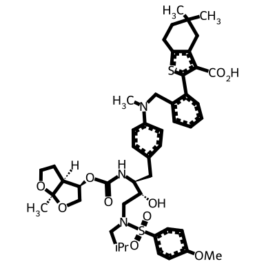 COc1ccc(S(=O)(=O)N(CC(C)C)C[C@@H](O)[C@H](Cc2ccc(N(C)Cc3ccccc3-c3sc4c(c3C(=O)O)CC(C)(C)CC4)cc2)NC(=O)O[C@H]2CO[C@@]3(C)OCC[C@@H]23)cc1